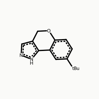 CC(C)(C)c1ccc2c(c1)-c1[nH]ncc1CO2